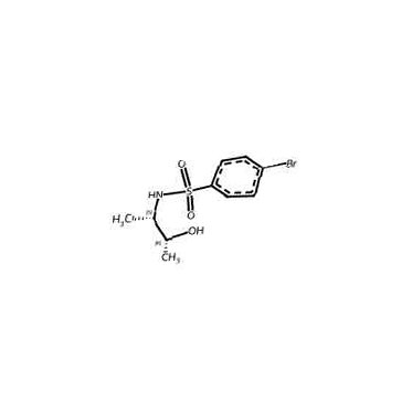 C[C@H](NS(=O)(=O)c1ccc(Br)cc1)[C@@H](C)O